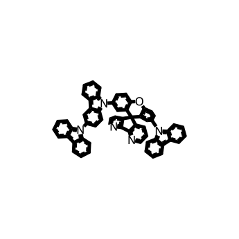 c1cnc2c(c1)C1(c3cc(-n4c5ccccc5c5ccccc54)ccc3Oc3ccc(-n4c5ccccc5c5cc(-n6c7ccccc7c7ccccc76)ccc54)cc31)c1cccnc1-2